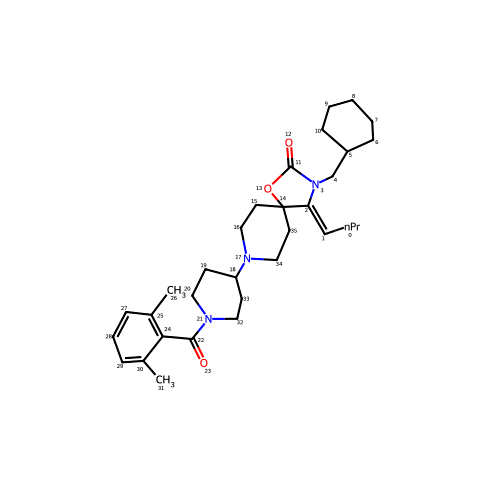 CCCC=C1N(CC2CCCCC2)C(=O)OC12CCN(C1CCN(C(=O)c3c(C)cccc3C)CC1)CC2